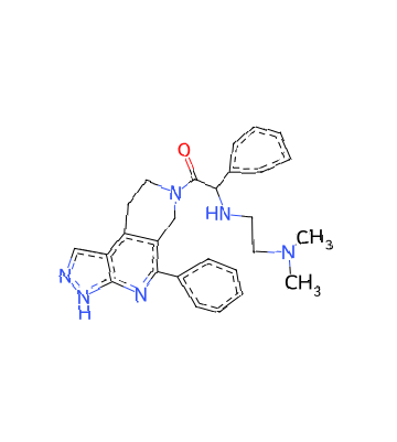 CN(C)CCNC(C(=O)N1CCc2c(c(-c3ccccc3)nc3[nH]ncc23)C1)c1ccccc1